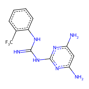 N=C(Nc1nc(N)cc(N)n1)Nc1ccccc1C(F)(F)F